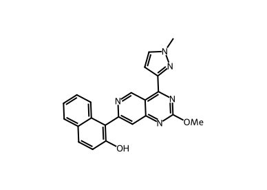 COc1nc(-c2ccn(C)n2)c2cnc(-c3c(O)ccc4ccccc34)cc2n1